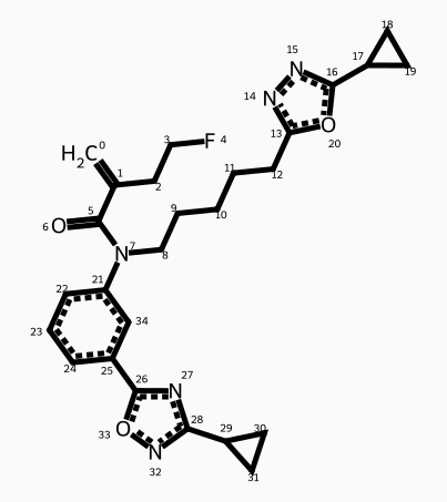 C=C(CCF)C(=O)N(CCCCCc1nnc(C2CC2)o1)c1cccc(-c2nc(C3CC3)no2)c1